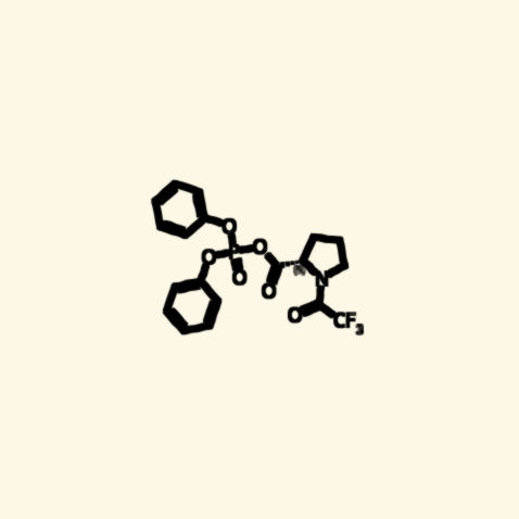 O=C(OP(=O)(Oc1ccccc1)Oc1ccccc1)[C@@H]1CCCN1C(=O)C(F)(F)F